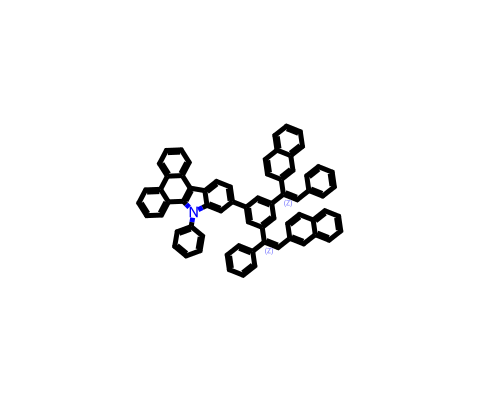 C(=C(\c1ccccc1)c1cc(/C(=C/c2ccccc2)c2ccc3ccccc3c2)cc(-c2ccc3c4c5ccccc5c5ccccc5c4n(-c4ccccc4)c3c2)c1)/c1ccc2ccccc2c1